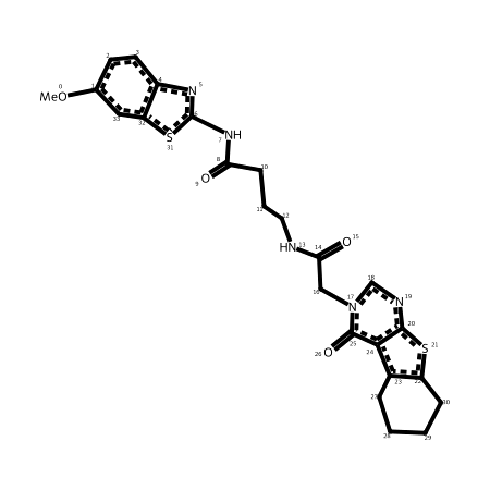 COc1ccc2nc(NC(=O)CCCNC(=O)Cn3cnc4sc5c(c4c3=O)CCCC5)sc2c1